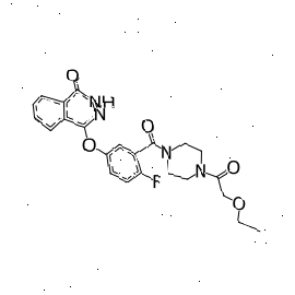 CCOCC(=O)N1CCN(C(=O)c2cc(Oc3n[nH]c(=O)c4ccccc34)ccc2F)CC1